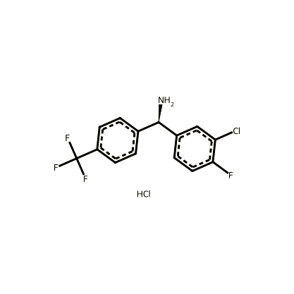 Cl.N[C@H](c1ccc(C(F)(F)F)cc1)c1ccc(F)c(Cl)c1